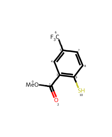 COC(=O)c1cc(C(F)(F)F)ccc1S